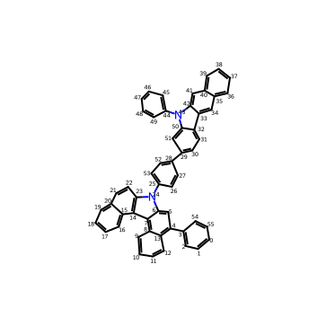 c1ccc(-c2cc3c(c4ccccc24)c2c4ccccc4ccc2n3-c2ccc(-c3ccc4c5cc6ccccc6cc5n(-c5ccccc5)c4c3)cc2)cc1